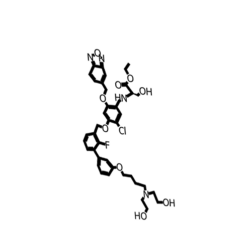 CCOC(=O)[C@@H](CO)NCc1cc(Cl)c(OCc2cccc(-c3cccc(OCCCCN(CCO)CCO)c3)c2F)cc1OCc1ccc2nonc2c1